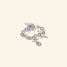 CC(C)(C)OC(=O)c1nc(N2CCc3cccc(C(=O)Nc4nc5ccccc5s4)c3C2)ccc1B1OC(C)(C)C(C)(C)O1.CCOC(=O)C(F)(F)CC1CCC(Oc2cccc(-c3ccc(N4CCc5cccc(C(=O)Nc6nc7ccccc7s6)c5C4)nc3C(=O)OC(C)(C)C)c2C)CC1